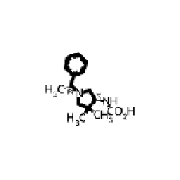 C[C@H](c1ccccc1)N1C[C@@H](NC(=O)O)C(C)(C)C1